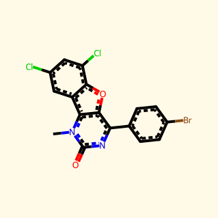 Cn1c(=O)nc(-c2ccc(Br)cc2)c2oc3c(Cl)cc(Cl)cc3c21